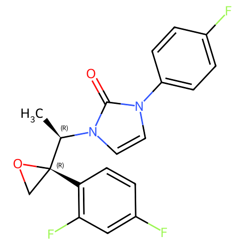 C[C@@H](n1ccn(-c2ccc(F)cc2)c1=O)[C@]1(c2ccc(F)cc2F)CO1